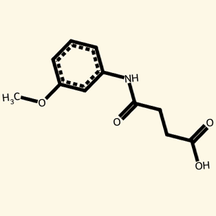 COc1cccc(NC(=O)CCC(=O)O)c1